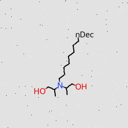 CCCCCCCCCCCCCCCCCCN(C(C)CO)C(C)CO